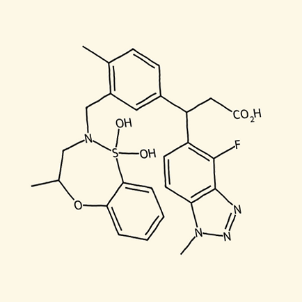 Cc1ccc(C(CC(=O)O)c2ccc3c(nnn3C)c2F)cc1CN1CC(C)Oc2ccccc2S1(O)O